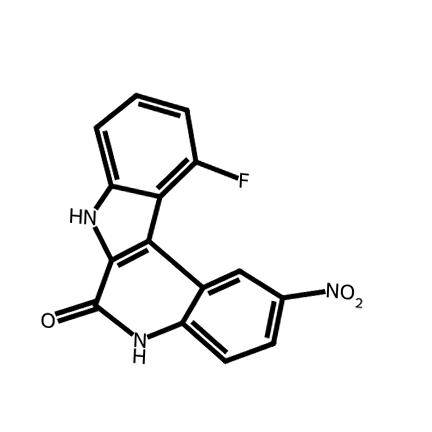 O=c1[nH]c2ccc([N+](=O)[O-])cc2c2c1[nH]c1cccc(F)c12